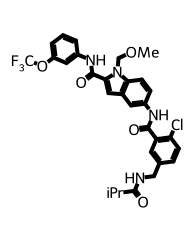 COCn1c(C(=O)Nc2cccc(OC(F)(F)F)c2)cc2cc(NC(=O)c3cc(CNC(=O)C(C)C)ccc3Cl)ccc21